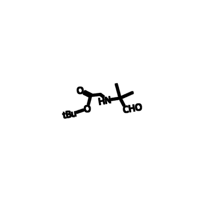 CC(C)(C=O)NCC(=O)OC(C)(C)C